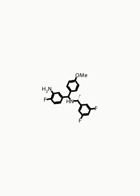 COc1ccc(C(N[C@H](C)c2cc(F)cc(F)c2)c2ccc(F)c(N)c2)cc1